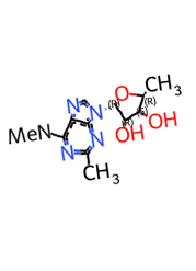 CNc1nc(C)nc2c1ncn2[C@@H]1O[C@H](C)[C@@H](O)[C@H]1O